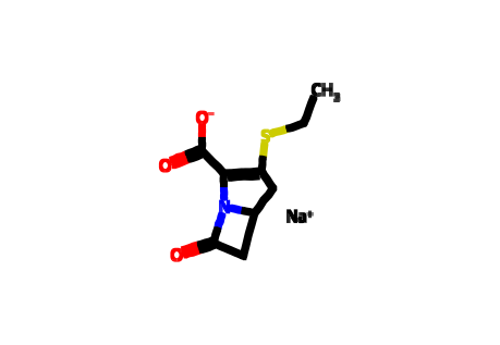 CCSC1=C(C(=O)[O-])N2C(=O)CC2C1.[Na+]